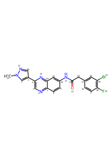 Cn1cc(-c2cnc3ccc(NC(=O)Cc4ccc(F)c(Br)c4)cc3n2)cn1